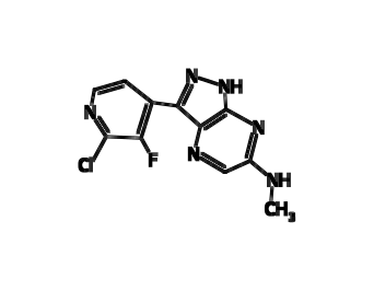 CNc1cnc2c(-c3ccnc(Cl)c3F)n[nH]c2n1